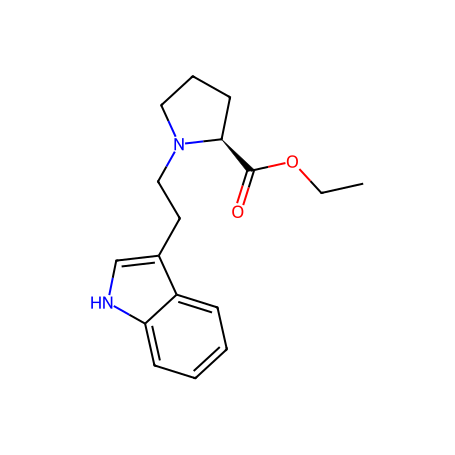 CCOC(=O)[C@@H]1CCCN1CCc1c[nH]c2ccccc12